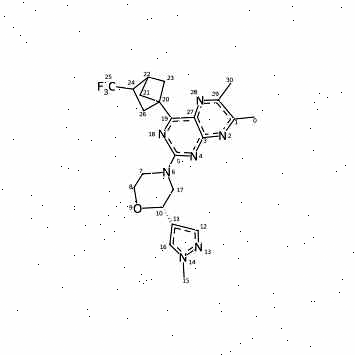 Cc1nc2nc(N3CCO[C@@H](c4cnn(C)c4)C3)nc(C34CC(C3)C(C(F)(F)F)C4)c2nc1C